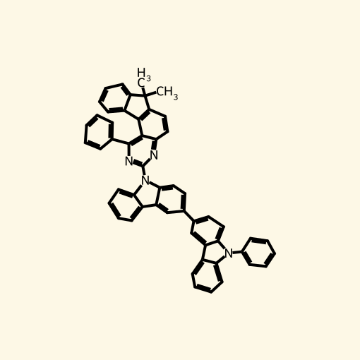 CC1(C)c2ccccc2-c2c1ccc1nc(-n3c4ccccc4c4cc(-c5ccc6c(c5)c5ccccc5n6-c5ccccc5)ccc43)nc(-c3ccccc3)c21